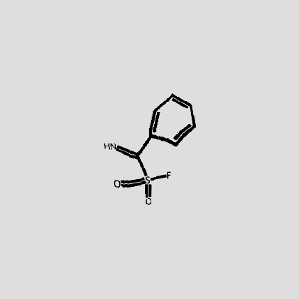 N=C(c1ccccc1)S(=O)(=O)F